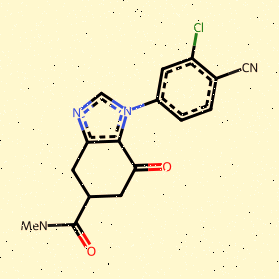 CNC(=O)C1CC(=O)c2c(ncn2-c2ccc(C#N)c(Cl)c2)C1